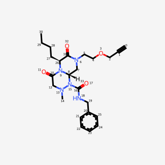 C#CCOCCN1C[C@H]2N(C(=O)CN(C)N2C(=O)NCc2ccccc2)[C@@H](CCCC)C1=O